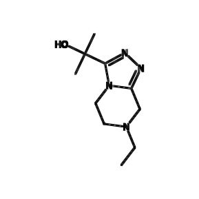 CCN1CCn2c(nnc2C(C)(C)O)C1